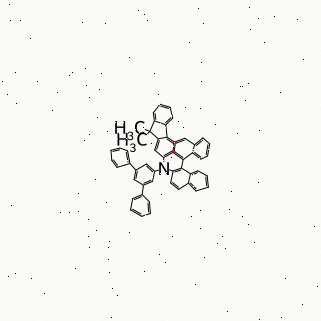 CC1(C)c2ccccc2-c2ccc(N(c3cc(-c4ccccc4)cc(-c4ccccc4)c3)c3ccc4ccccc4c3-c3cccc4ccccc34)cc21